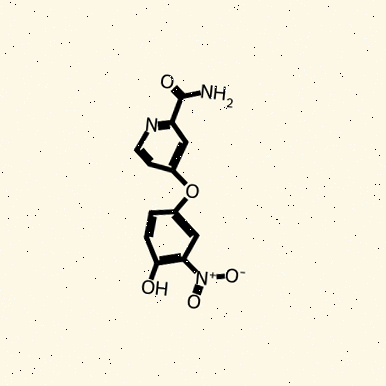 NC(=O)c1cc(Oc2ccc(O)c([N+](=O)[O-])c2)ccn1